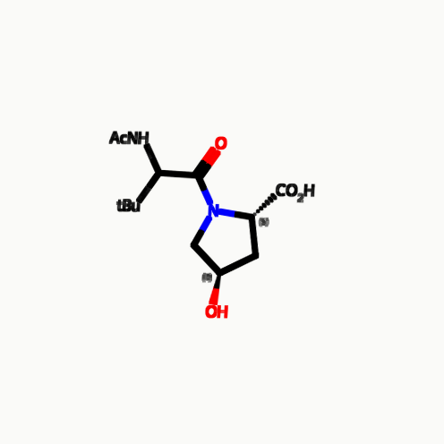 CC(=O)NC(C(=O)N1C[C@H](O)C[C@H]1C(=O)O)C(C)(C)C